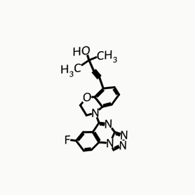 CC(C)(O)C#Cc1cccc2c1OCCN2c1nc2nncn2c2ccc(F)cc12